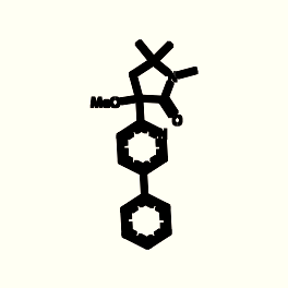 COC1(c2ccc(-c3ccccc3)cn2)CC(C)(C)N(C)C1=O